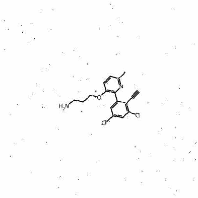 C#Cc1c(Cl)cc(Cl)cc1-c1nc(C)ccc1OCCCN